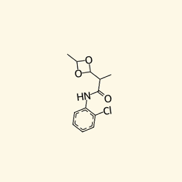 CC1OC(C(C)C(=O)Nc2ccccc2Cl)O1